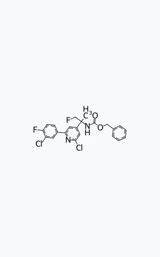 CC(CF)(NC(=O)OCc1ccccc1)c1cc(Cl)nc(-c2ccc(F)c(Cl)c2)c1